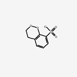 O=S(=O)(Cl)c1cccc2c1OOCC2